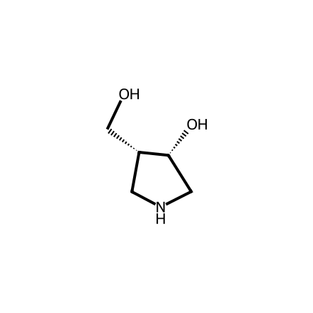 OC[C@H]1CNC[C@H]1O